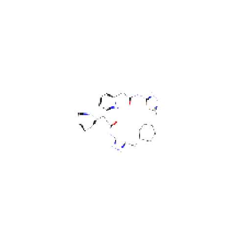 O=C(Cc1ccccn1)Nc1nnc(C[C@H]2CC[C@H](Cc3nnc(NC(=O)Cc4ccccn4)s3)CC2)s1